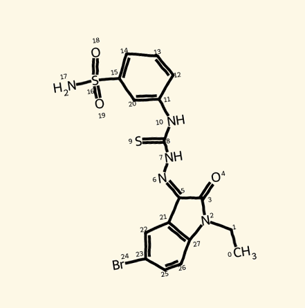 CCN1C(=O)C(=NNC(=S)Nc2cccc(S(N)(=O)=O)c2)c2cc(Br)ccc21